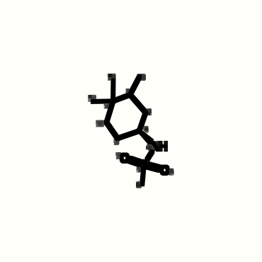 CC1C[C@@H](NS(C)(=O)=O)CCC1(C)C